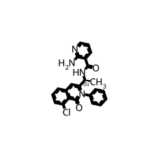 C[C@H](NC(=O)c1cccnc1N)c1cc2cccc(Cl)c2c(=O)n1-c1ccccc1